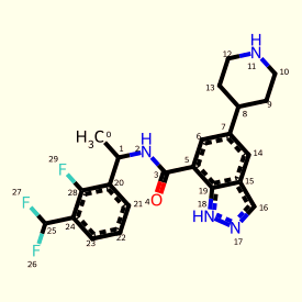 CC(NC(=O)c1cc(C2CCNCC2)cc2cn[nH]c12)c1cccc(C(F)F)c1F